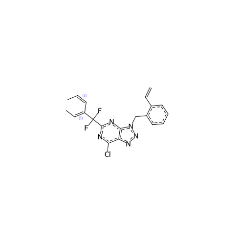 C=Cc1ccccc1Cn1nnc2c(Cl)nc(C(F)(F)C(/C=C\C)=C/C)nc21